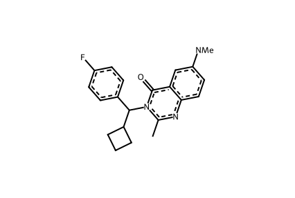 CNc1ccc2nc(C)n(C(c3ccc(F)cc3)C3CCC3)c(=O)c2c1